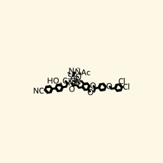 CC(=O)CN(C)c1ncsc1S(=O)(=O)N1Cc2cc3c(cc2CC1C(=O)NC(Cc1ccc(-c2ccc(C#N)cc2)cc1)C(=O)O)OCC(c1ccc(OCc2ccc(Cl)c(Cl)c2)cc1)O3